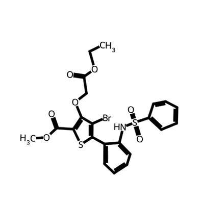 CCOC(=O)COc1c(C(=O)OC)sc(-c2ccccc2NS(=O)(=O)c2ccccc2)c1Br